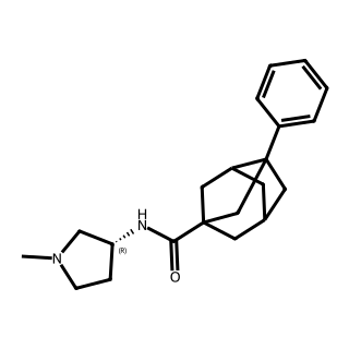 CN1CC[C@@H](NC(=O)C23CC4CC(C2)C(c2ccccc2)(C4)C3)C1